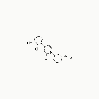 NC1CCCC(n2ccc(-c3cccc(Cl)c3Cl)cc2=O)C1